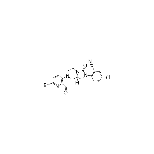 CC[C@@H]1CN2C(=O)N(c3ccc(Cl)cc3C#N)C[C@@H]2CN1c1ccc(Br)nc1C=O